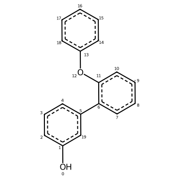 Oc1cccc(-c2cc[c]cc2Oc2ccccc2)c1